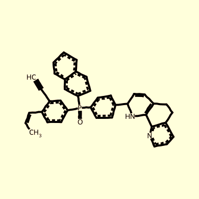 C#Cc1cc(P(=O)(c2ccc(C3C=CC4=C(N3)c3ncccc3CC4)cc2)c2ccc3ccccc3c2)ccc1/C=C\C